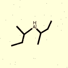 CC[CH](C)[AlH][CH](C)CC